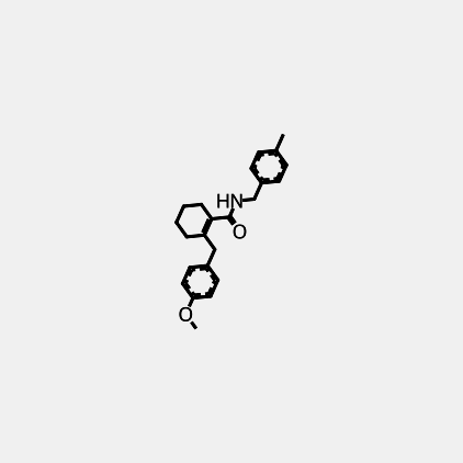 COc1ccc(CC2=C(C(=O)NCc3ccc(C)cc3)CCCC2)cc1